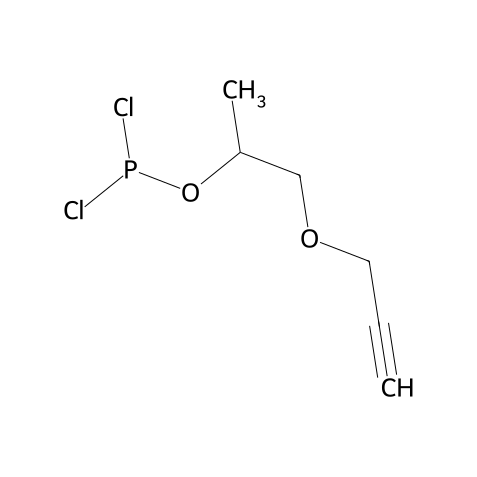 C#CCOCC(C)OP(Cl)Cl